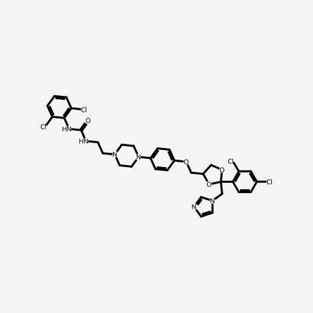 O=C(NCCN1CCN(c2ccc(OCC3COC(Cn4ccnc4)(c4ccc(Cl)cc4Cl)O3)cc2)CC1)Nc1c(Cl)cccc1Cl